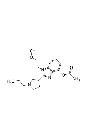 CCCN1CCC(c2nc3c(OC(N)=O)cccc3n2CCOC)C1